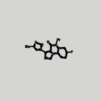 CC(C)n1c(=O)c2c(-n3cc(C(C)(C)C)nn3)ncn2c2ccc(F)cc21